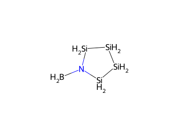 BN1[SiH2][SiH2][SiH2][SiH2]1